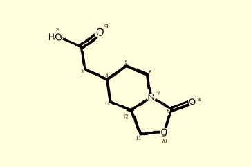 O=C(O)CC1CCN2C(=O)OCC2C1